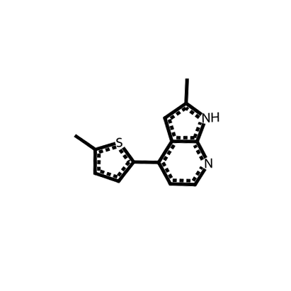 Cc1cc2c(-c3ccc(C)s3)ccnc2[nH]1